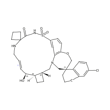 O=C1NS(=O)(=O)c2ccc3c(c2)N(C[C@@H]2CC[C@H]2[C@@H](O)/C=C/CNC12CCC2)C[C@@]1(CCCc2cc(Cl)ccc21)CO3